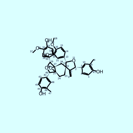 C=C1[C@@H](c2ccc(O)c(C)c2)O[C@@H](c2ccc(OC)c(O)c2)[C@]12CC[C@@]13O[C@]1(C2)[C@@H](c1ccc(O)c(OC)c1)O[C@H]3c1ccc(O)c(C)c1